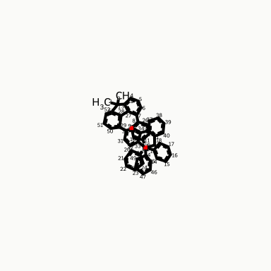 CC1(C)c2cccc(-c3ccc(N(c4ccccc4)c4ccccc4)cc3)c2-c2c(-c3ccc4c(c3)-c3ccccc3CC4c3ccccc3)cccc21